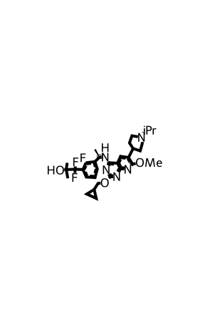 COc1nc2nc(OCC3CC3)nc(N[C@H](C)c3cccc(C(F)(F)C(C)(C)O)c3F)c2cc1C1CCN(C(C)C)CC1